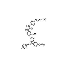 COc1ccc2c(c1)c(/C=C1\Oc3ccc(NC(=O)Nc4ccc(OCCCCN(C)C)cc4)cc3C1=O)c(C)n2CCN1CCN(C)CC1